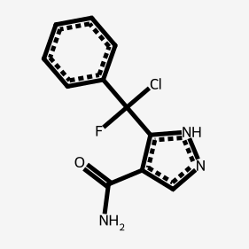 NC(=O)c1cn[nH]c1C(F)(Cl)c1ccccc1